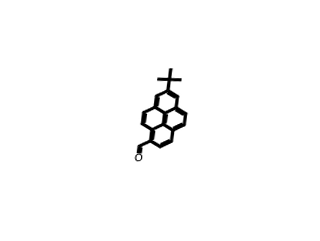 CC(C)(C)c1cc2ccc3ccc(C=O)c4ccc(c1)c2c34